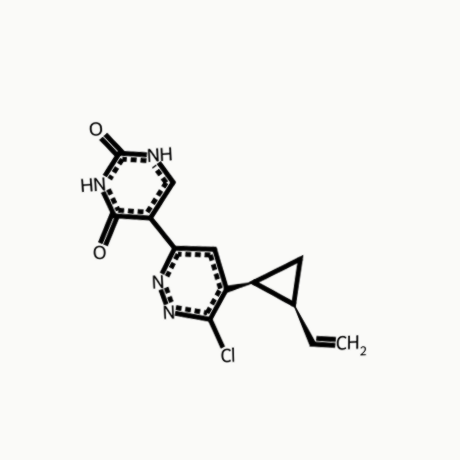 C=C[C@@H]1C[C@@H]1c1cc(-c2c[nH]c(=O)[nH]c2=O)nnc1Cl